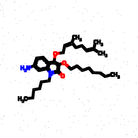 CCCCCCCCOc1c(OCC=C(C)CCC=C(C)C)c2ccc(N)cc2n(CCCCCC)c1=O